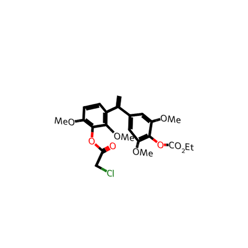 C=C(c1cc(OC)c(OC(=O)OCC)c(OC)c1)c1ccc(OC)c(OC(=O)CCl)c1OC